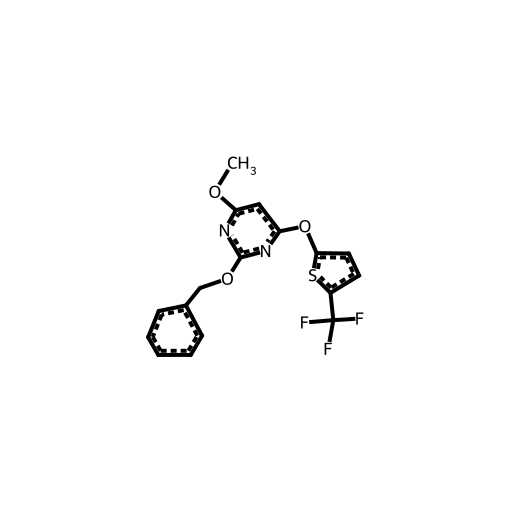 COc1cc(Oc2ccc(C(F)(F)F)s2)nc(OCc2ccccc2)n1